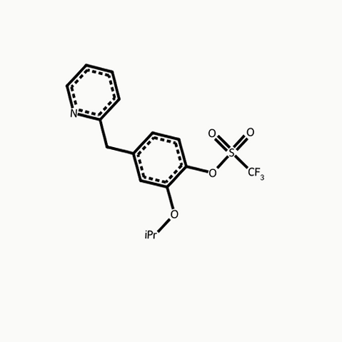 CC(C)Oc1cc(Cc2ccccn2)ccc1OS(=O)(=O)C(F)(F)F